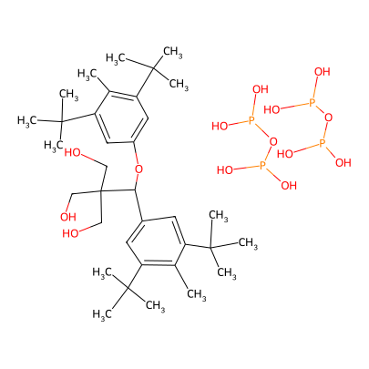 Cc1c(C(C)(C)C)cc(OC(c2cc(C(C)(C)C)c(C)c(C(C)(C)C)c2)C(CO)(CO)CO)cc1C(C)(C)C.OP(O)OP(O)O.OP(O)OP(O)O